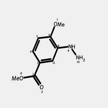 COC(=O)c1ccc(OC)c(NN)c1